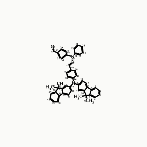 CC1(C)c2ccccc2-c2ccc(N(c3ccc(/C=N/N(c4ccccc4)c4ccc(C=O)cc4)cc3)c3ccc4c(c3)C(C)(C)c3ccccc3-4)cc21